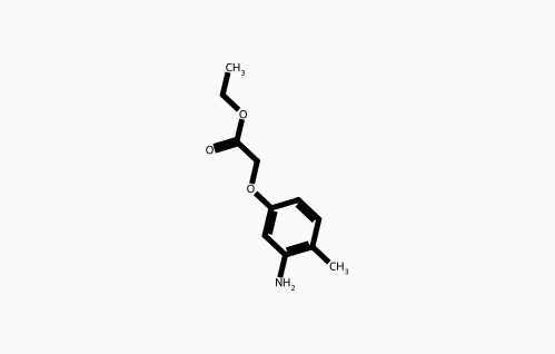 CCOC(=O)COc1ccc(C)c(N)c1